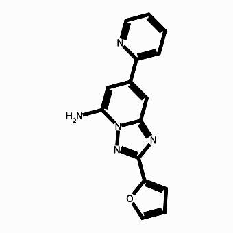 Nc1cc(-c2ccccn2)cc2nc(-c3ccco3)nn12